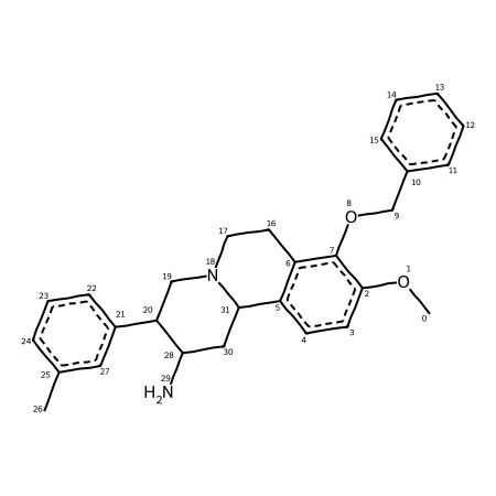 COc1ccc2c(c1OCc1ccccc1)CCN1CC(c3cccc(C)c3)C(N)CC21